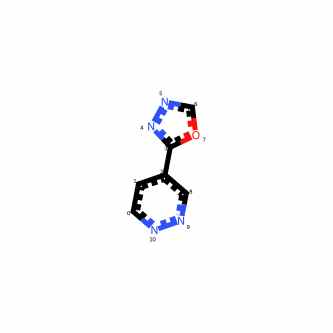 c1cc(-c2nnco2)cnn1